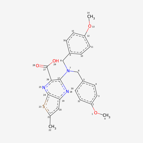 COc1ccc(CN(Cc2ccc(OC)cc2)c2nc3cc(C)sc3nc2C(=O)O)cc1